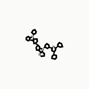 c1ccc(-c2cc(-c3ccccc3)nc(-c3cccc(-n4c5cc(-c6ccc7c(c6)c6ccccc6n7-c6ccccc6)ccc5c5ncccc54)c3)c2)cc1